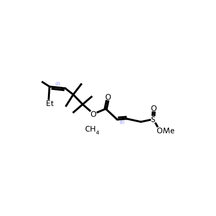 C.CC/C(C)=C\C(C)(C)C(C)(C)OC(=O)/C=C/CS(=O)OC